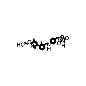 Cc1cc(-c2cccc(CNc3ccc(Cn4oc(=O)[nH]c4=O)cc3)c2C)c(C)nc1OCCO